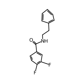 O=C(NCCc1ccccc1)c1ccc(F)c(F)c1